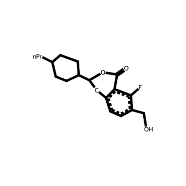 CCCC1CCC(C2Cc3ccc(CO)c(F)c3C(=O)O2)CC1